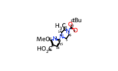 COc1nc(N2CCN(C(=O)OC(C)(C)C)C(C)C2)ccc1C(=O)O